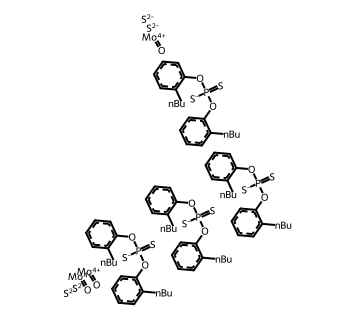 CCCCc1ccccc1OP(=S)([S-])Oc1ccccc1CCCC.CCCCc1ccccc1OP(=S)([S-])Oc1ccccc1CCCC.CCCCc1ccccc1OP(=S)([S-])Oc1ccccc1CCCC.CCCCc1ccccc1OP(=S)([S-])Oc1ccccc1CCCC.[O]=[Mo+4].[O]=[Mo+4].[O]=[Mo+4].[S-2].[S-2].[S-2].[S-2]